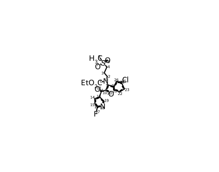 CCOC(=O)N(CCCS(C)(=O)=O)c1c(C(=O)c2ccc(F)nc2)oc2ccc(Cl)cc12